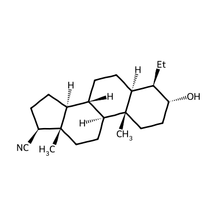 CC[C@H]1[C@H](O)CC[C@]2(C)[C@H]3CC[C@]4(C)[C@@H](C#N)CC[C@H]4[C@@H]3CC[C@@H]12